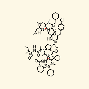 CC[C@H](C)[C@@H](C=O)NC(=O)[C@@H](C)N(C)C(=O)C[C@@H](C(=O)N1CCCCC1)N(C)C(=O)[C@H](C1CCCCC1)N(C)C(=O)C1(NC(=O)[C@@H]2CCCN2C(=O)[C@H](CCCc2ccc(Cl)cc2)NC(=O)CN(C)C(=O)[C@H](CC2CCCCC2)N(C)C(=O)CN(C)C(=O)CNC)CCCC1